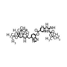 CC(C)(C)OC(=O)CC(NC(=O)Cc1ccc(OC(=O)c2cnc(NC(=N)NC(=O)OC(C)(C)C)nc2)c2ncnn12)C(=O)OC(C)(C)C